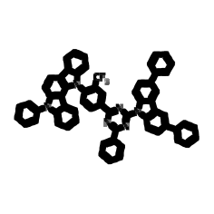 FC(F)(F)c1cc(-c2nc(-c3ccccc3)nc(-n3c4ccc(-c5ccccc5)cc4c4cc(-c5ccccc5)ccc43)n2)ccc1-n1c2ccccc2c2ccc3c(c4ccccc4n3-c3ccccc3)c21